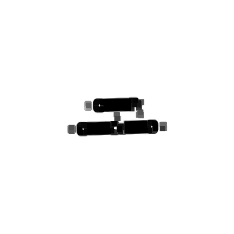 [O]=[Ce]=[O].[O]=[Pr]